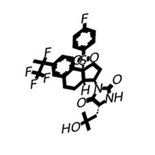 CC(C)(O)C[C@H]1NC(=O)N([C@@H]2CC[C@@]3(S(=O)(=O)c4ccc(F)cc4)c4ccc(C(C)(F)C(F)(F)F)cc4CC[C@@H]23)C1=O